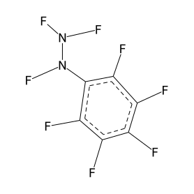 Fc1c(F)c(F)c(N(F)N(F)F)c(F)c1F